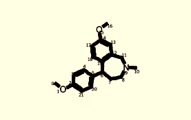 COc1ccc(C2CCN(C)Cc3cc(OC)ccc32)cc1